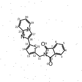 O=C1c2ccccc2C(=O)N1Cc1ccc(-c2cn3ccccc3n2)s1